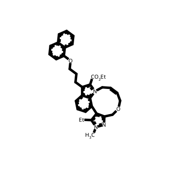 CCOC(=O)c1c(CCCOc2cccc3ccccc23)c2cccc3c2n1C/C=C\COCc1nn(C)c(CC)c1-3